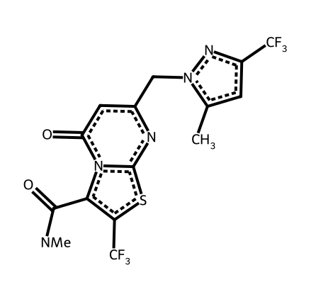 CNC(=O)c1c(C(F)(F)F)sc2nc(Cn3nc(C(F)(F)F)cc3C)cc(=O)n12